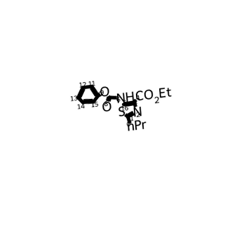 CCCc1nc(C(=O)OCC)c(NC(=O)Oc2ccccc2)s1